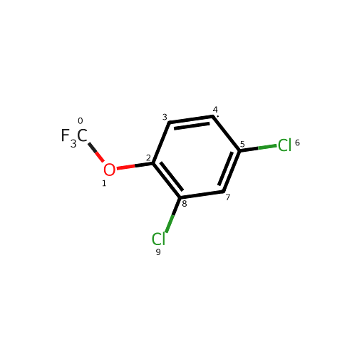 FC(F)(F)Oc1c[c]c(Cl)cc1Cl